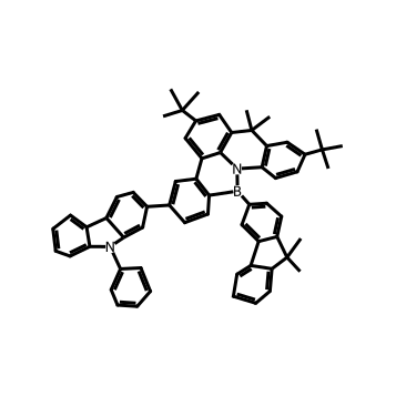 CC(C)(C)c1ccc2c(c1)C(C)(C)c1cc(C(C)(C)C)cc3c1N2B(c1ccc2c(c1)-c1ccccc1C2(C)C)c1ccc(-c2ccc4c5ccccc5n(-c5ccccc5)c4c2)cc1-3